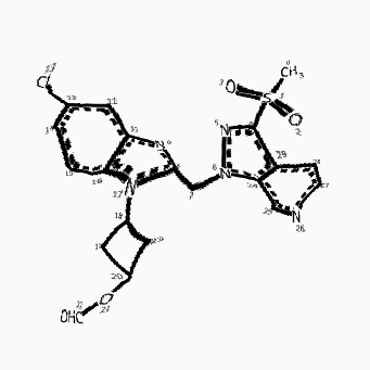 CS(=O)(=O)c1nn(Cc2nc3cc(Cl)ccc3n2C2CC(OC=O)C2)c2cnccc12